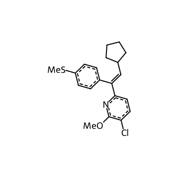 COc1nc(C(=CC2CCCC2)c2ccc(SC)cc2)ccc1Cl